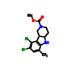 Cc1cc(Br)c(Cl)c2c1NC1CCN(C(=O)OC(C)(C)C)CC21